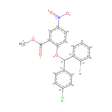 COC(=O)c1cc([N+](=O)[O-])ccc1OC(c1ccc(Cl)cc1)c1ccccc1F